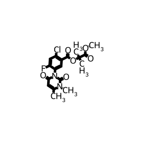 COC(=O)C(C)(C)OC(=O)c1cc(-n2c(=O)cc(C)n(C)c2=O)c(F)cc1Cl